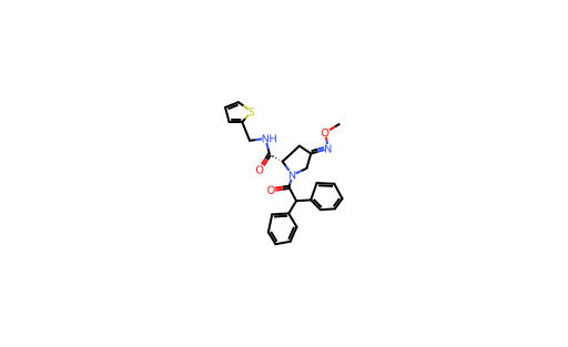 CO/N=C1\C[C@@H](C(=O)NCc2cccs2)N(C(=O)C(c2ccccc2)c2ccccc2)C1